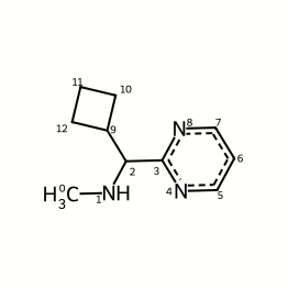 CNC(c1ncccn1)C1CCC1